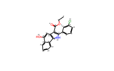 CCOC(=O)c1c(-c2cccc(Cl)c2)[nH]c2c1cc(O)c1ccccc12